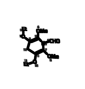 CCOC1=C(OC)N(C=O)C(OC)=C(OCC)C1